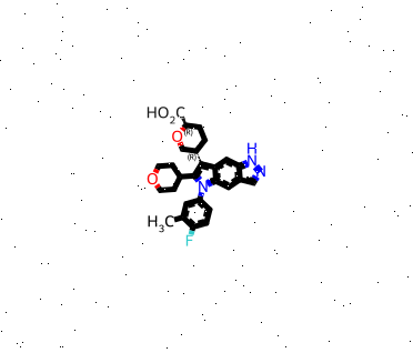 Cc1cc(-n2c(C3CCOCC3)c([C@H]3CC[C@H](C(=O)O)OC3)c3cc4[nH]ncc4cc32)ccc1F